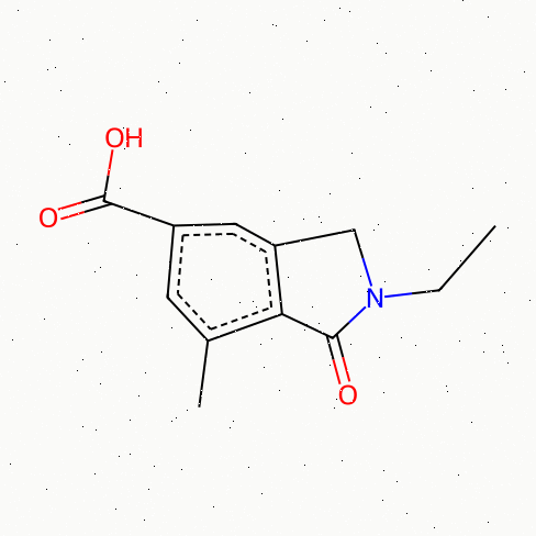 CCN1Cc2cc(C(=O)O)cc(C)c2C1=O